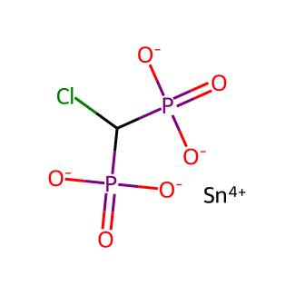 O=P([O-])([O-])C(Cl)P(=O)([O-])[O-].[Sn+4]